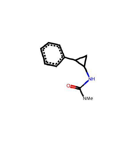 CNC(=O)NC1CC1c1ccccc1